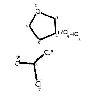 C1CCOC1.Cl.Cl.ClC(Cl)Cl